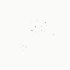 CC(=O)Oc1c(C)n(C(=O)c2ccc(Cl)c(Cl)c2)c2cc(F)c(O)c(C)c12.CCC(C)NC(=O)Cc1c(C)n(C(=O)c2ccc(Cl)c(Cl)c2)c2ccc(O)cc12.Cc1c(CC(=O)NCCO)c2cc(O)ccc2n1C(=O)c1ccc(Cl)c(Cl)c1